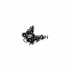 CC(OC(=O)C1CCNCC1)c1cnc(N(Cc2cc(C(F)(F)F)cc(C(F)(F)F)c2)Cc2cc(C(F)(F)F)cc(Cl)c2OCc2ccccc2)nc1